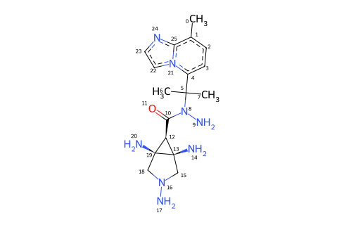 Cc1ccc(C(C)(C)N(N)C(=O)[C@H]2[C@]3(N)CN(N)C[C@]23N)n2ccnc12